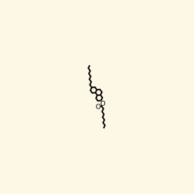 CCCCCCCCC(=O)OC1CCC2C(CCC3CC(CCCCCCCC)CCC32)C1